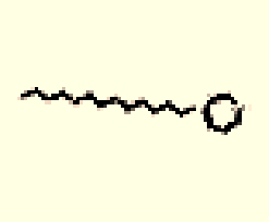 C1=CC=CNC=C1.CCCCCCCCCCCCCC